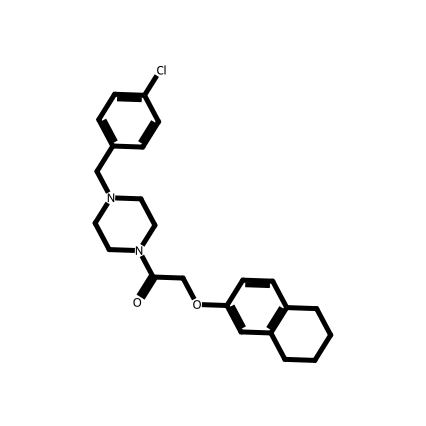 O=C(COc1ccc2c(c1)CCCC2)N1CCN(Cc2ccc(Cl)cc2)CC1